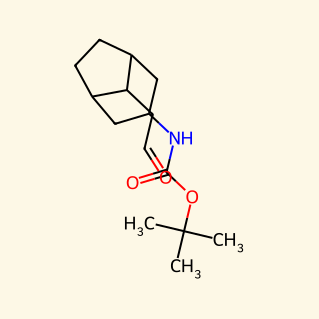 CC(C)(C)OC(=O)NC1CC2CCC(C1)C2CC=O